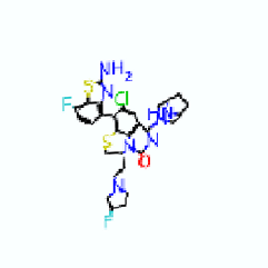 Nc1nc2c(-c3c(Cl)cc4c(N5CC6CCC(C5)N6)nc(=O)n5c4c3SC[C@@H]5CCN3CCC(F)C3)ccc(F)c2s1